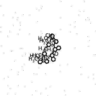 Cc1cc(C)cc(N(c2cc3c4cc(N(c5cc(C)cc(C)c5)c5cccc6c5oc5c(C(C)(C)C)cccc56)c5ccccc5c4oc3c3ccccc23)c2cccc3c2oc2c(C(C)(C)C)cccc23)c1